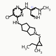 CCC1(C)CC1SN1CC2CC(Nc3nc(N/C(C=N)=C/NC)ncc3Cl)CC2C1